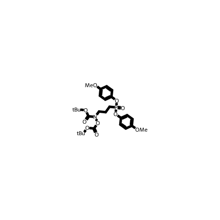 COc1ccc(OP(=O)(CCCN(OC(=O)OC(C)(C)C)C(=O)OC(C)(C)C)Oc2ccc(OC)cc2)cc1